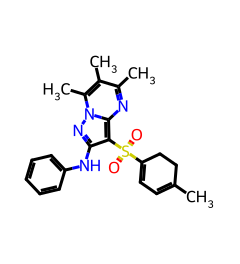 CC1=CC=C(S(=O)(=O)c2c(Nc3ccccc3)nn3c(C)c(C)c(C)nc23)CC1